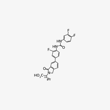 CC(C)[C@@H](C(=O)O)N1Cc2ccc(-c3ccc(NC(=O)Nc4ccc(F)c(F)c4)c(F)c3)cc2C1=O